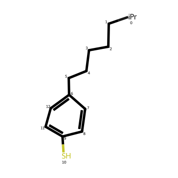 CC(C)CCCCCc1ccc(S)cc1